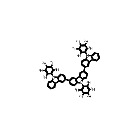 [2H]c1c([2H])c([2H])c(-n2c3ccccc3c3cc(-c4ccc5c(c4)c4cc(-c6ccc7c(c6)c6ccccc6n7-c6c([2H])c([2H])c([2H])c([2H])c6[2H])ccc4n5-c4c([2H])c([2H])c([2H])c([2H])c4[2H])ccc32)c([2H])c1[2H]